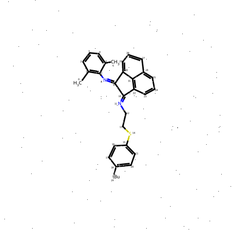 Cc1cccc(C)c1/N=C1/C(=N/CCSc2ccc(C(C)(C)C)cc2)c2cccc3cccc1c23